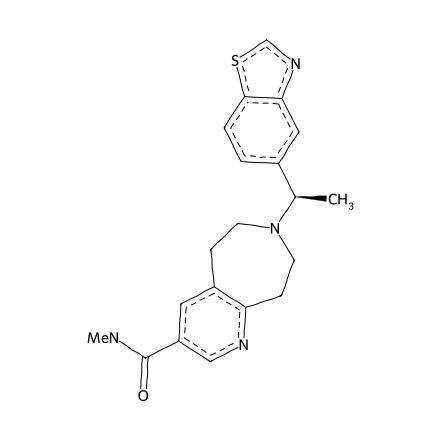 CNC(=O)c1cnc2c(c1)CCN([C@H](C)c1ccc3scnc3c1)CC2